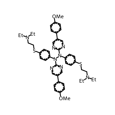 CCN(CC)CCSc1ccc(N(c2ncc(-c3ccc(OC)cc3)cn2)N(c2ccc(SCCN(CC)CC)cc2)c2ncc(-c3ccc(OC)cc3)cn2)cc1